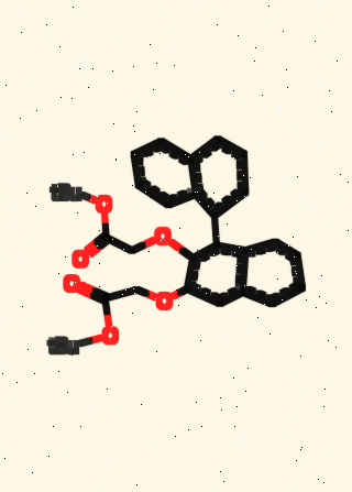 CC(C)(C)OC(=O)COc1cc2ccccc2c(-c2cccc3ccccc23)c1OCC(=O)OC(C)(C)C